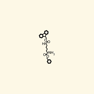 N[C@@H](CCCCNC(=O)OCC1c2ccccc2-c2ccccc21)C(=O)OCc1ccccc1